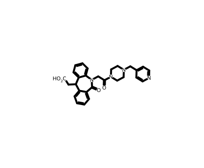 O=C(O)CC1c2ccccc2C(=O)N(CC(=O)N2CCN(Cc3ccncc3)CC2)c2ccccc21